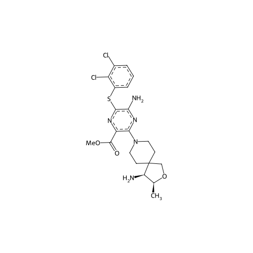 COC(=O)c1nc(Sc2cccc(Cl)c2Cl)c(N)nc1N1CCC2(CC1)CO[C@@H](C)[C@H]2N